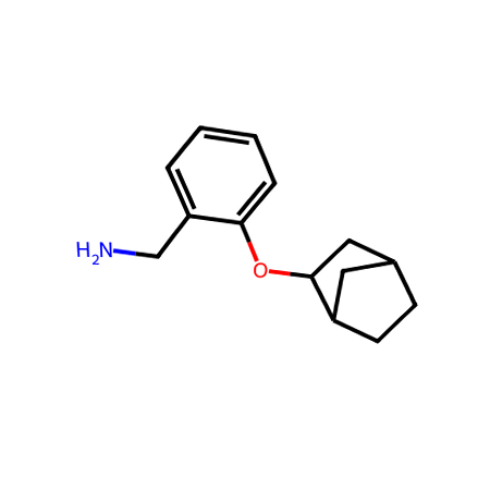 NCc1ccccc1OC1CC2CCC1C2